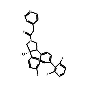 C[C@]1(c2ccc(F)cc2)CN(C(=O)Cc2ccncc2)C[C@H]1c1ccc(-c2c(F)cccc2F)cc1